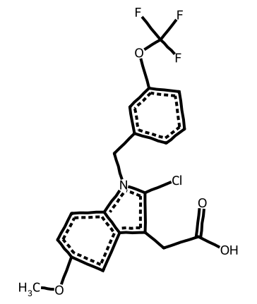 COc1ccc2c(c1)c(CC(=O)O)c(Cl)n2Cc1cccc(OC(F)(F)F)c1